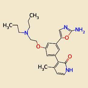 CCCN(CCC)CCOc1cc(-c2cnc(N)o2)cc(-c2c(C)cc[nH]c2=O)c1